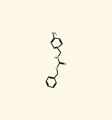 Nc1ccc(CNC(=O)OCc2ccccc2)cc1